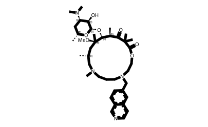 CO[C@]1(C)C[C@@H](C)CN(C)CCCN(Cc2ccc3cnccc3c2)CCOC(=O)C(C)(C)C(=O)[C@H](C)[C@H]1O[C@@H]1O[C@H](C)C[C@H](N(C)C)[C@H]1O